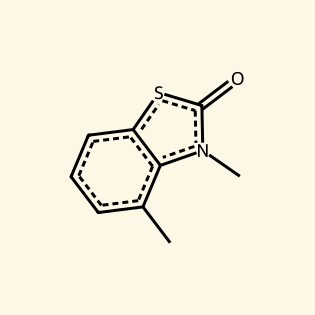 Cc1cccc2sc(=O)n(C)c12